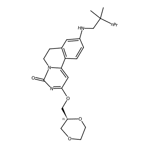 CCCC(C)(C)CNc1ccc2c(c1)CCn1c-2cc(OC[C@@H]2COCCO2)nc1=O